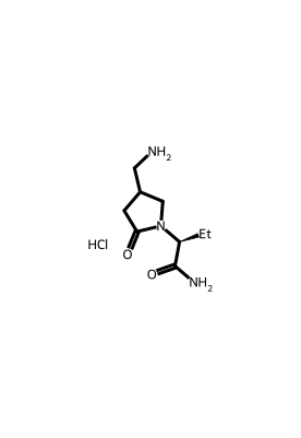 CC[C@@H](C(N)=O)N1CC(CN)CC1=O.Cl